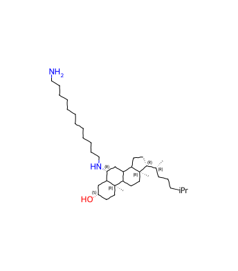 CC(C)CCC[C@@H](C)[C@H]1CCC2C3C[C@@H](NCCCCCCCCCCCCN)C4C[C@@H](O)CC[C@]4(C)C3CC[C@@]21C